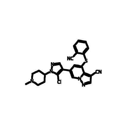 CN1CCC(n2ncc(-c3cc(Sc4ccccc4C#N)c4c(C#N)cnn4c3)c2Cl)CC1